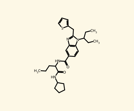 CCCC(NC(=O)c1ccc2c(c1)nc(Cc1cccs1)n2C(CC)CC)C(=O)NC1CCCC1